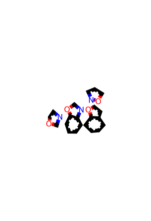 c1ccc2occc2c1.c1ccc2ocnc2c1.c1cnoc1.c1cocn1